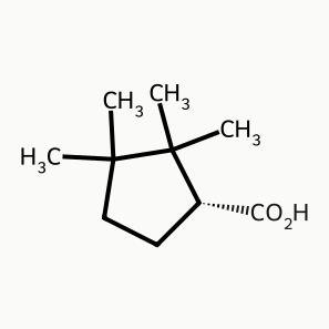 CC1(C)CC[C@@H](C(=O)O)C1(C)C